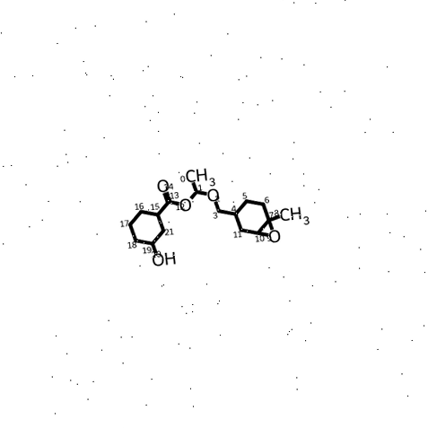 CC(OCC1CCC2(C)OC2C1)OC(=O)C1CCCC(O)C1